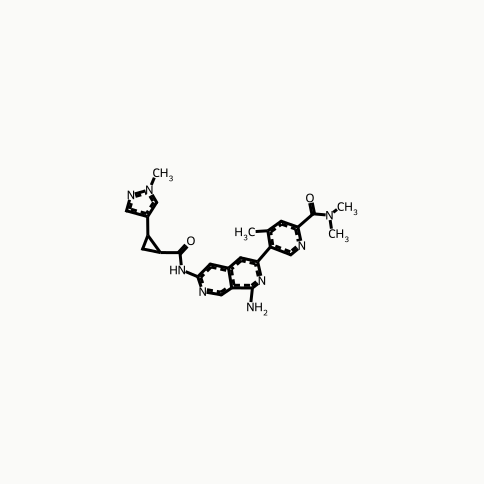 Cc1cc(C(=O)N(C)C)ncc1-c1cc2cc(NC(=O)C3CC3c3cnn(C)c3)ncc2c(N)n1